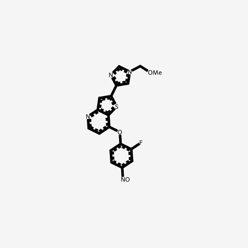 COCn1cnc(-c2cc3nccc(Oc4ccc(N=O)cc4F)c3s2)c1